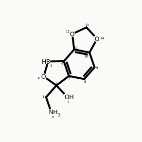 NCC1(O)OBc2c1ccc1c2OCO1